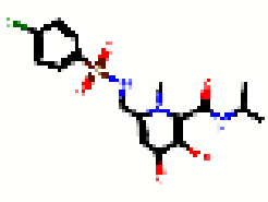 CC(C)NC(=O)c1c(O)c(=O)cc(CNS(=O)(=O)c2ccc(Cl)cc2)n1C